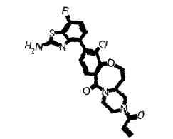 C=CC(=O)N1CCN2C(=O)c3ccc(-c4ccc(F)c5sc(N)nc45)c(Cl)c3OCCC2C1